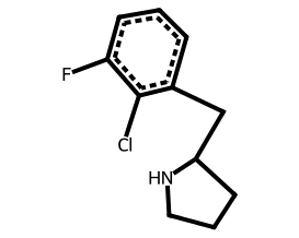 Fc1cccc(CC2CCCN2)c1Cl